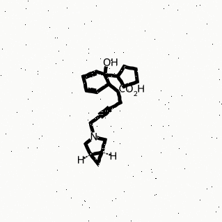 O=C(O)C(CC#CCN1C[C@H]2C[C@H]2C1)C1C=CC=CC1(O)C1CCCC1